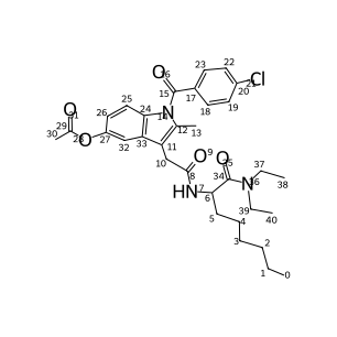 CCCCCCC(NC(=O)Cc1c(C)n(C(=O)c2ccc(Cl)cc2)c2ccc(OC(C)=O)cc12)C(=O)N(CC)CC